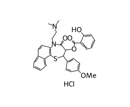 COc1ccc(C2Sc3c(ccc4ccccc34)N(CCN(C)C)C(=O)C2OC(=O)c2ccccc2O)cc1.Cl